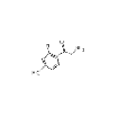 NCC(=O)c1ncc(C(F)(F)F)cc1Cl